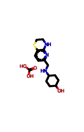 O=C(O)O.OC1CCC(NCc2ccc3c(n2)NCCS3)CC1